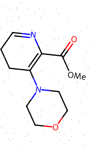 COC(=O)C1=C(N2CCOCC2)CCC=N1